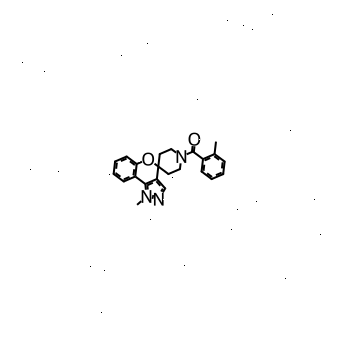 Cc1ccccc1C(=O)N1CCC2(CC1)Oc1ccccc1-c1c2cnn1C